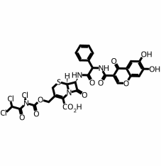 O=C(O)C1=C(COC(=O)N(Cl)C(=O)C(Cl)Cl)CS[C@H]2[C@H](NC(=O)C(NC(=O)c3coc4cc(O)c(O)cc4c3=O)c3ccccc3)C(=O)N12